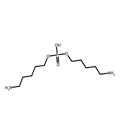 NCCCCCOP(=O)(O)OCCCCCN